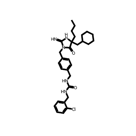 CCCCC1(CC2CCCCC2)NC(=N)N(Cc2ccc(CNC(=O)NCc3ccccc3Cl)cc2)C1=O